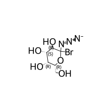 [N-]=[N+]=NC1(Br)O[C@H](CO)[C@H](O)[C@H](O)[C@H]1O